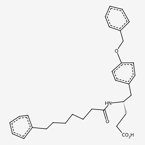 O=C(O)CC[C@@H](Cc1ccc(OCc2ccccc2)cc1)NC(=O)CCCCCCc1ccccc1